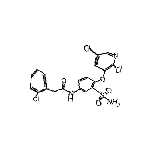 NS(=O)(=O)c1cc(NC(=O)Cc2ccccc2Cl)ccc1Oc1cc(Cl)cnc1Cl